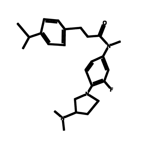 CC(C)c1ccc(CCC(=O)N(C)c2ccc(N3CCC(N(C)C)C3)c(F)c2)cc1